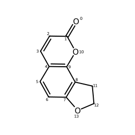 O=c1ccc2ccc3c(c2o1)CCO3